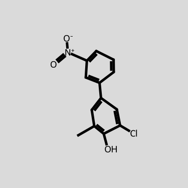 Cc1cc(-c2cccc([N+](=O)[O-])c2)cc(Cl)c1O